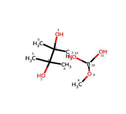 CC(C)(O)C(C)(C)O.COB(O)O